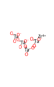 [O]=[Ta](=[O])[O-].[O]=[Ta](=[O])[O-].[O]=[Ta](=[O])[O-].[O]=[Ta](=[O])[O-].[Zr+4]